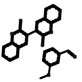 COc1cccc(C=O)c1.O=c1oc2ccccc2cc1-c1cc2ccccc2oc1=O